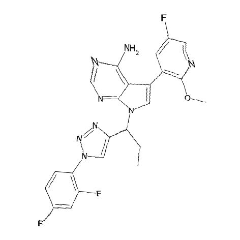 CCC(c1cn(-c2ccc(F)cc2F)nn1)n1cc(-c2cc(F)cnc2OC)c2c(N)ncnc21